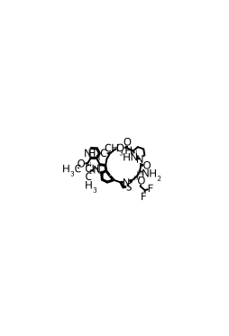 CCn1c(-c2cccnc2[C@H](C)OC)c2c3cc(ccc31)-c1csc(n1)[C@@H](OCC(F)F)[C@H](N)C(=O)N1CCC[C@H](N1)C(=O)OCC(C)(C)C2